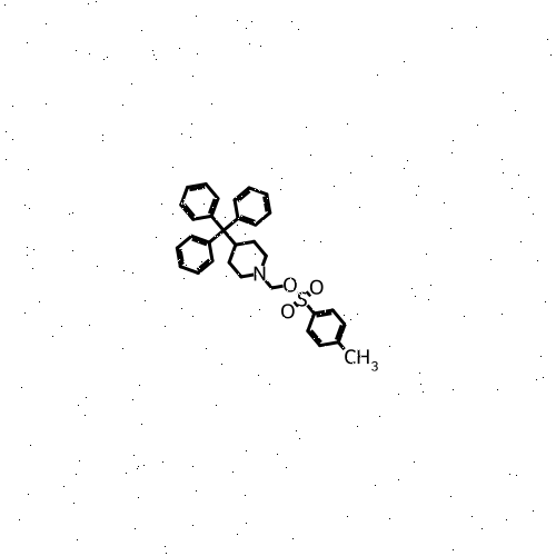 Cc1ccc(S(=O)(=O)OCN2CCC(C(c3ccccc3)(c3ccccc3)c3ccccc3)CC2)cc1